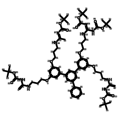 C=C(NCCCOc1cc(OCCCN/C(C)=N/C(=O)OC(C)(C)C)cc(-c2cc(-c3ccccc3)cc(-c3cc(OCCCNC(=C)NC(=O)OC(C)(C)C)cc(OCCCN/C(=N\C(=O)OC(C)(C)C)NC(=O)OC(C)(C)C)c3)c2)c1)NC(=O)OC(C)(C)C